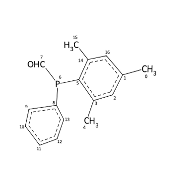 Cc1cc(C)c(P(C=O)c2ccccc2)c(C)c1